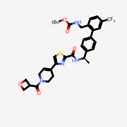 C[C@@H](NC(=O)c1nc(C2=CCN(C(=O)C3COC3)CC2)cs1)c1ccc(-c2cc(C(F)(F)F)ccc2CNC(=O)OC(C)(C)C)cc1